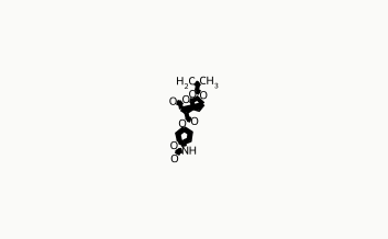 C=C(C)C(=O)OC12CC3CC1C(C(=O)Oc1ccc4[nH]c(=O)oc4c1)C3C(=O)O2